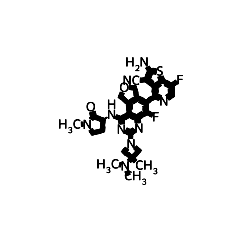 CN1CC[C@@H](Nc2nc(N3CC(C)(N(C)C)C3)nc3c(F)c(-c4ncc(F)c5sc(N)c(C#N)c45)c4c(c23)COC4)C1=O